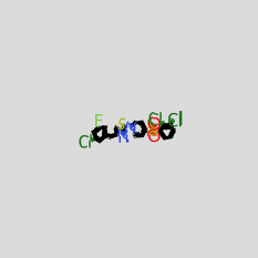 O=S(=O)(c1cccc(Cl)c1Cl)C1CCN(c2nc(Cc3cc(F)cc(Cl)c3)cs2)CC1